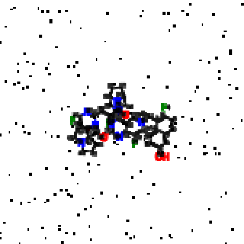 C#Cc1c(F)ccc2cc(O)cc(-c3ncc4c(N5CC6CCC(C5)N6C(=O)/C(F)=C/c5ncccn5)nc(OC[C@@]56CCCN5C[C@H](F)C6)nc4c3F)c12